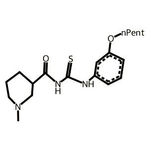 CCCCCOc1cccc(NC(=S)NC(=O)C2CCCN(C)C2)c1